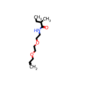 C=CCOCCOCCNC(=O)C(C)CC